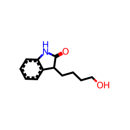 O=C1Nc2ccccc2C1CCCCO